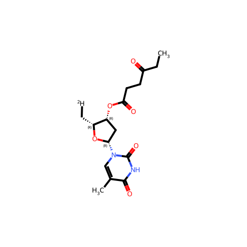 [2H]C[C@H]1O[C@@H](n2cc(C)c(=O)[nH]c2=O)C[C@H]1OC(=O)CCC(=O)CC